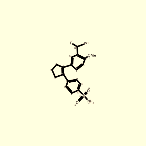 COc1ccc(C2=C(c3ccc(S(N)(=O)=O)cc3)CCC2)cc1C(F)F